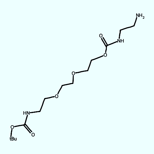 CC(C)(C)OC(=O)NCCOCCOCCOC(=O)NCCN